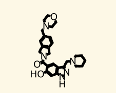 O=C(c1cc2c(CN3CCCCC3)n[nH]c2cc1O)N1Cc2ccc(CN3CCOCC3)cc2C1